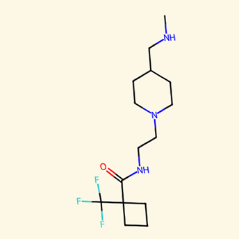 CNCC1CCN(CCNC(=O)C2(C(F)(F)F)CCC2)CC1